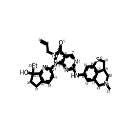 C=CCn1c(=O)c2cnc(Nc3cc4c5c(c3)SCC5CN(C)C4)nc2n1-c1ccc2c(n1)C(O)(CC)CC2